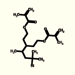 [CH2]CC(C)(C)CC(C)[C](CCOC(=O)C(=C)C)CCOC(=O)C(=C)C